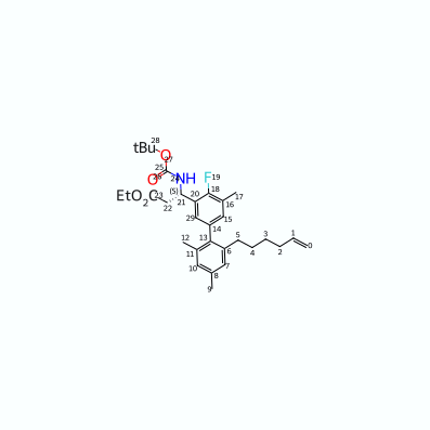 C=CCCCCc1cc(C)cc(C)c1-c1cc(C)c(F)c([C@H](CC(=O)OCC)NC(=O)OC(C)(C)C)c1